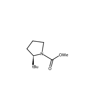 COC(=O)N1CCC[C@@H]1C(C)(C)C